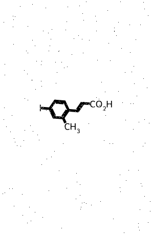 Cc1cc(I)ccc1/C=C/C(=O)O